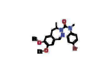 CCOc1cc2c(cc1OCC)CC(C)N(C(=O)N(C)c1ccc(Br)cc1)N=C2